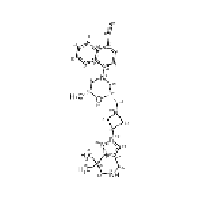 C[C@@H]1CN(c2ccc(C#N)c3ncccc23)C[C@H](CN2CC(n3cc4c(n3)C(C)(C)CNC4)C2)O1